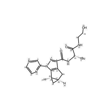 CC(C)(C)[C@H](NC(=O)c1nn(-c2cnccn2)c2c1C[C@H]1C[C@@H]21)C(=O)NCCO